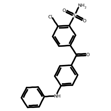 NS(=O)(=O)c1cc(C(=O)c2ccc(Nc3ccccc3)cc2)ccc1Cl